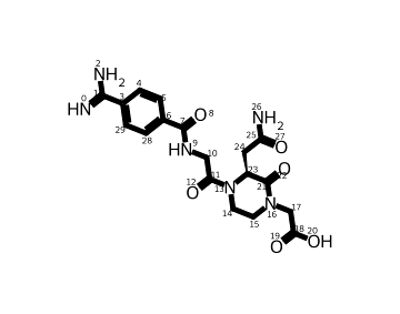 N=C(N)c1ccc(C(=O)NCC(=O)N2CCN(CC(=O)O)C(=O)[C@@H]2CC(N)=O)cc1